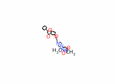 Cn1c(N2CCN(CCCOc3ccc4oc(-c5ccccc5)cc(=O)c4c3)CC2)cc(=O)n(C)c1=O